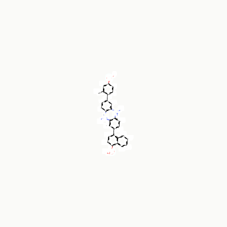 COc1ccc(-c2ccc3c(c2)N(C)c2ccc(-c4ccc(OC)c5ccccc45)cc2N3C)c(C)c1